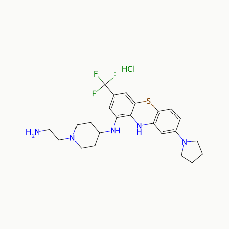 Cl.NCCN1CCC(Nc2cc(C(F)(F)F)cc3c2Nc2cc(N4CCCC4)ccc2S3)CC1